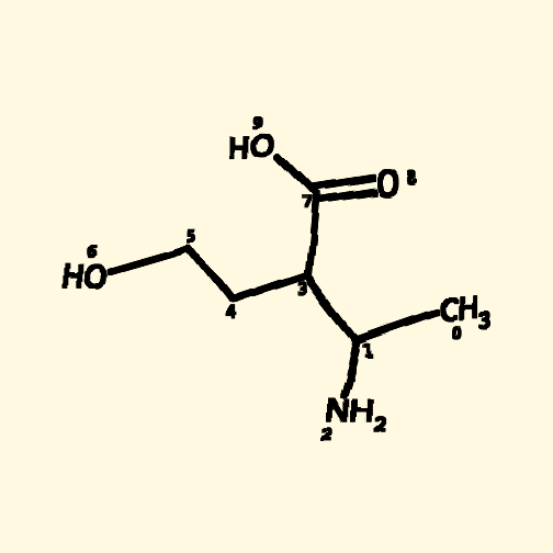 CC(N)C(CCO)C(=O)O